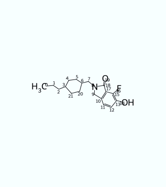 CCCC1CCC(CN2Cc3ccc(O)c(F)c3C2=O)CC1